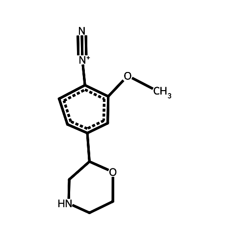 COc1cc(C2CNCCO2)ccc1[N+]#N